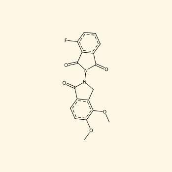 COc1ccc2c(c1OC)CN(N1C(=O)c3cccc(F)c3C1=O)C2=O